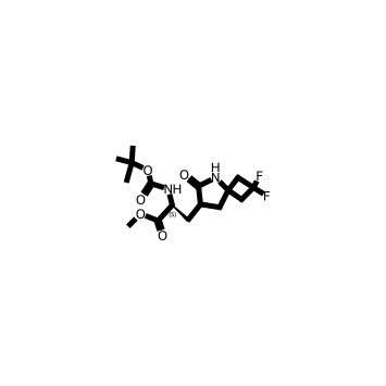 COC(=O)[C@H](CC1CC2(CC(F)(F)C2)NC1=O)NC(=O)OC(C)(C)C